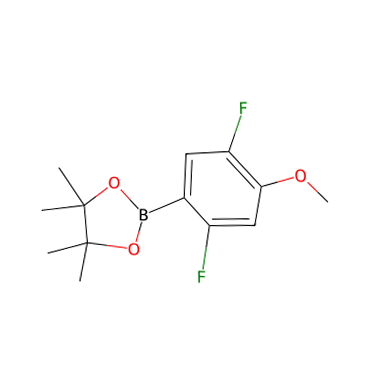 COc1cc(F)c(B2OC(C)(C)C(C)(C)O2)cc1F